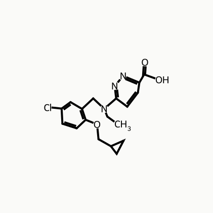 CCN(Cc1cc(Cl)ccc1OCC1CC1)c1ccc(C(=O)O)nn1